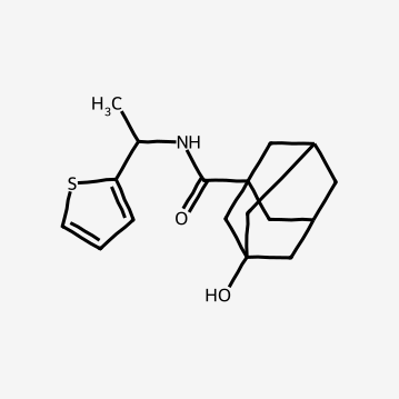 CC(NC(=O)C12CC3CC(CC(O)(C3)C1)C2)c1cccs1